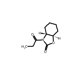 CCC(=O)N1C(=O)O[C@@H]2CCCC[C@H]21